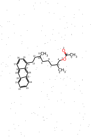 CC(=O)OCC(C)CCCC(C)CCc1cccc2cc3ccccc3cc12